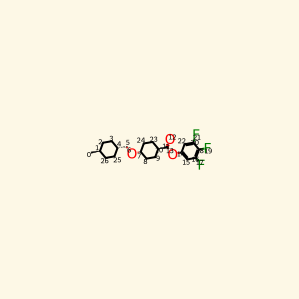 C[C@H]1CC[C@H](CO[C@H]2CC[C@H](C(=O)Oc3cc(F)c(F)c(F)c3)CC2)CC1